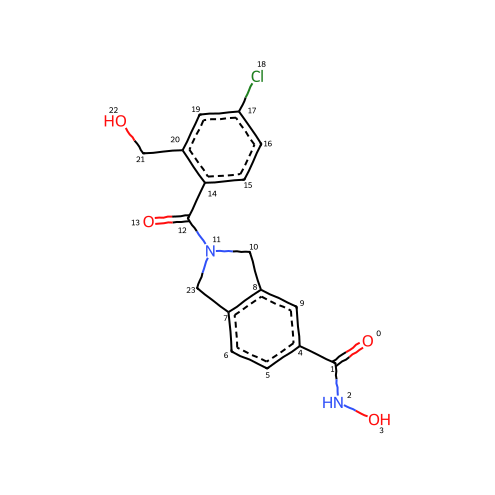 O=C(NO)c1ccc2c(c1)CN(C(=O)c1ccc(Cl)cc1CO)C2